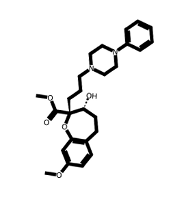 COC(=O)[C@@]1(CCCN2CCN(c3ccccc3)CC2)Oc2cc(OC)ccc2CC[C@H]1O